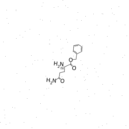 NC(=O)CC[C@H](N)C(=O)OCc1ccccc1